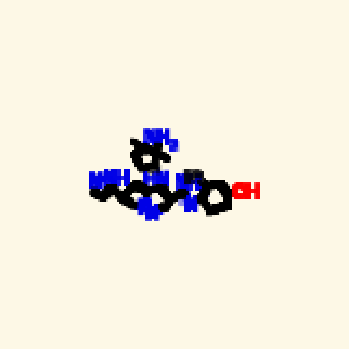 CCc1cc(O)ccc1/N=C(\N)c1cnn2cc(-c3ccn[nH]3)cc2c1N[C@@H]1CC[C@](C)(N)C1(C)C